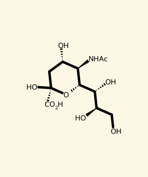 C[14C](=O)N[C@H]1[C@H]([C@H](O)[C@H](O)CO)O[C@](O)(C(=O)O)C[C@@H]1O